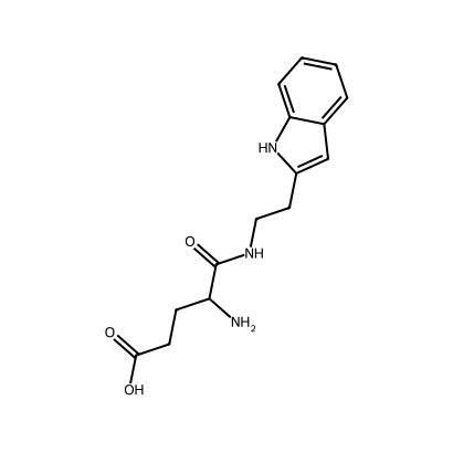 NC(CCC(=O)O)C(=O)NCCc1cc2ccccc2[nH]1